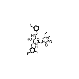 CCc1cccc(CNC[C@@H](O)[C@H](Cc2cc(F)cc(F)c2)NC(=O)CN2C[C@H](CC)N(C)C(=O)C2=O)c1